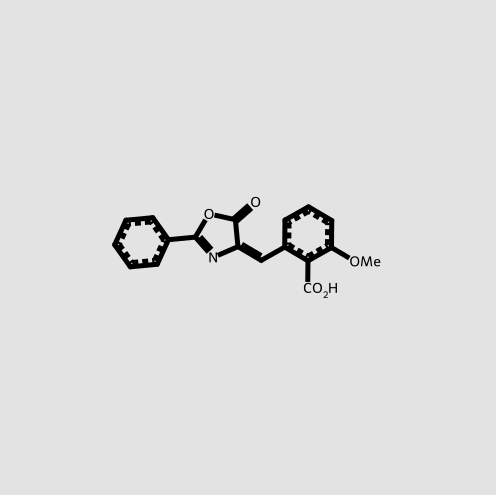 COc1cccc(C=C2N=C(c3ccccc3)OC2=O)c1C(=O)O